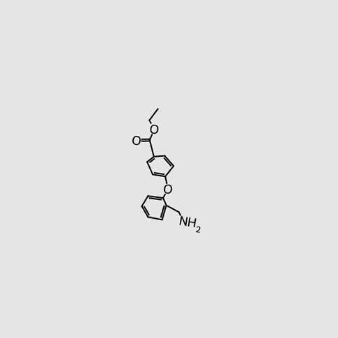 CCOC(=O)c1ccc(Oc2ccccc2CN)cc1